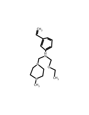 C=Cc1cccc([SiH](COCC)CN2CCN(C)CC2)c1